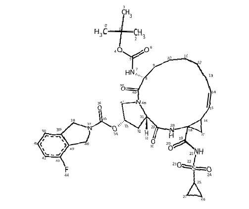 CC(C)(C)OC(=O)N[C@@H]1CCCCC/C=C\C2CC2(C(=O)NS(=O)(=O)C2CC2)NC(=O)[C@@H]2C[C@H](OC(=O)N3Cc4cccc(F)c4C3)CN2C1=O